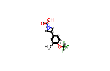 Cc1cc(C2CN(C(=O)O)C2)ccc1OC(F)(F)F